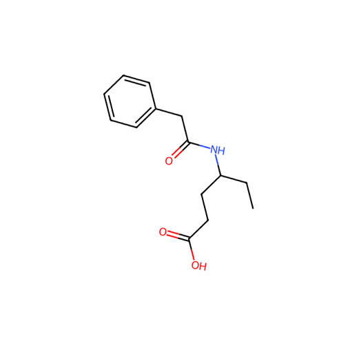 CCC(CCC(=O)O)NC(=O)Cc1ccccc1